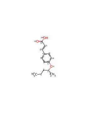 CCCC(C)Oc1ccc(/C=C/C(=O)O)cc1